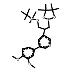 COc1ccc(-c2cncc(C(CO[Si](C)(C)C(C)(C)C)CB3OC(C)(C)C(C)(C)O3)c2)cc1OC